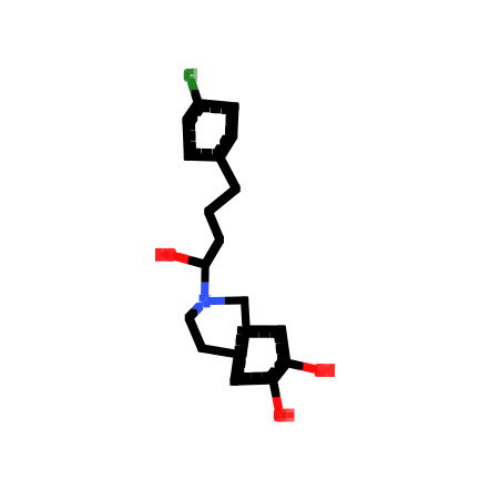 Oc1cc2c(cc1O)CN(C(O)CCCc1ccc(Cl)cc1)CC2